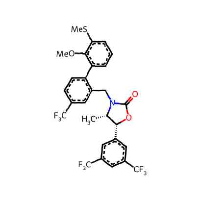 COc1c(SC)cccc1-c1ccc(C(F)(F)F)cc1CN1C(=O)O[C@H](c2cc(C(F)(F)F)cc(C(F)(F)F)c2)[C@@H]1C